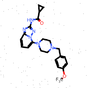 O=C(Nc1nc2cccc(N3CCN(Cc4ccc(OC(F)(F)F)cc4)CC3)n2n1)C1CC1